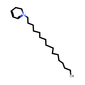 N#CCCCCCCCCCCCCCCC[N+]1=CC=CCC1